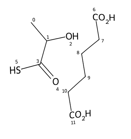 CC(O)C(=O)S.O=C(O)CCCCC(=O)O